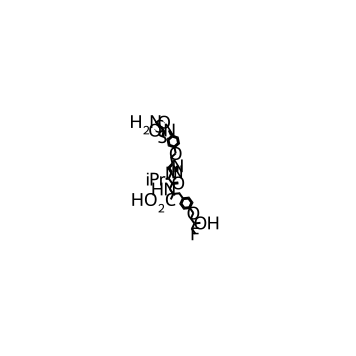 CC(C)C(C(=O)NC(Cc1ccc(OCC(O)CF)cc1)C(=O)O)n1cc(COc2ccc3nc(S(N)(=O)=O)sc3c2)nn1